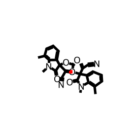 C=C(C#N)C1(OC(=O)OC2(C(=C)C#N)C(=O)N(C)c3c(C)cccc32)C(=O)N(C)c2c(C)cccc21